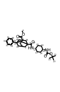 COC(=O)C12CC3CC(C(=O)N[C@H]4CC[C@H](NC(=O)OC(C)(C)C)CC4)(C1)CC(c1ccccc1)(C3)C2